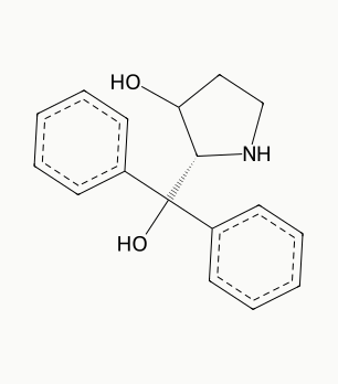 OC1CCN[C@@H]1C(O)(c1ccccc1)c1ccccc1